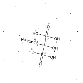 CC(O)(P(=O)(O)O)P(=O)(O)O.[Na].[Na]